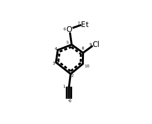 [C]#Cc1ccc(OCC)c(Cl)c1